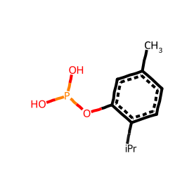 Cc1ccc(C(C)C)c(OP(O)O)c1